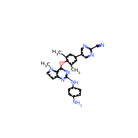 Cc1cc(-c2cnc(C#N)nc2)cc(C)c1Oc1nc(Nc2ccc(N)cc2)nc2ccn(C)c12